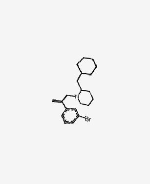 C=C(CN1CCCCC1CC1CCCCC1)c1cccc(Br)c1